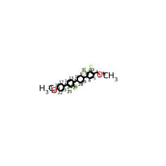 CCOCc1ccc(C2CCC(c3ccc(C4CCC(OC)CC4)c(F)c3F)CC2)c(F)c1F